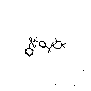 CN(c1ccc(C(=O)N2CC3(C)CC2CC(C)(C)C3)cc1)S(=O)(=O)Cc1ccccc1